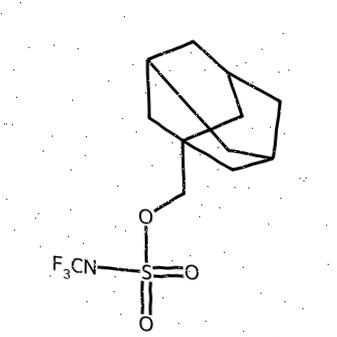 O=S(=O)(NC(F)(F)F)OCC12CC3CC(CC(C3)C1)C2